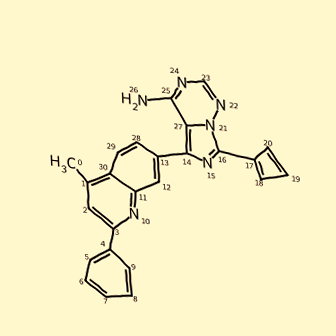 Cc1cc(-c2ccccc2)nc2cc(-c3nc(C4=CC=C4)n4ncnc(N)c34)ccc12